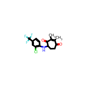 CC1=C(C)C(=O)C(Nc2ccc(C(F)(F)F)cc2Cl)CCC1=O